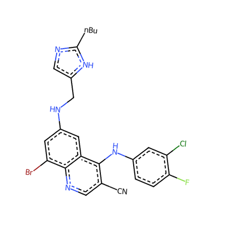 CCCCc1ncc(CNc2cc(Br)c3ncc(C#N)c(Nc4ccc(F)c(Cl)c4)c3c2)[nH]1